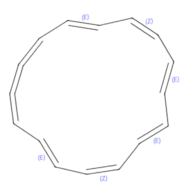 C1=C=C/C=C/C=C\C=C\C=C\C=C/C=C/C=1